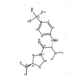 CC(C)[C@@H](Nc1ccc(C(F)(F)F)cc1)C(=O)N1CC[C@@H](N(C)C)C1